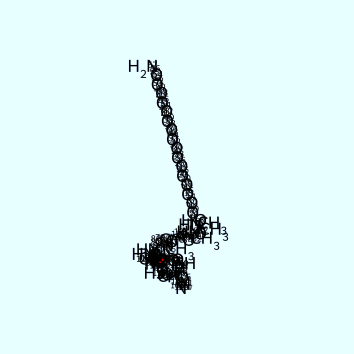 CC(C)[C@H](NC(=O)CCOCCOCCOCCOCCOCCOCCOCCOCCOCCOCCOCCOCCOCCOCCOCCOCCN)C(=O)N[C@@H](C)C(=O)Nc1ccc(COC(=O)N(C)Cc2ccccc2C(=O)Nc2nc3c(ncn3[C@@H]3O[C@@H]4CO[P@@](=O)(S)O[C@H]5C[C@H](Oc6ccncn6)C[C@@H]5CO[P@@](=O)(S)O[C@@H]3[C@@H]4O)c(=O)[nH]2)cc1